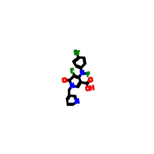 O=C(O)c1cn(Cc2cccnc2)c(=O)c(F)c1N(F)c1ccc(Br)cc1